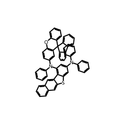 c1ccc(N(c2ccccc2)c2cc(N(c3ccccc3)c3ccc4c(c3)C3(c5ccccc5O4)c4ccccc4-c4ccccc43)c3c(c2)sc2cc4ccccc4cc23)cc1